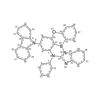 c1ccc(N2c3cc(-n4c5ccccc5c5ccccc54)cc4c3B(c3ccccc3O4)n3c2nc2ccccc23)cc1